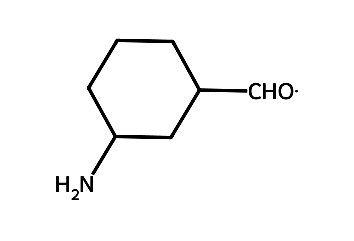 NC1CCCC([C]=O)C1